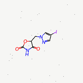 O=C1NC(=O)C(Cn2cc(I)cn2)O1